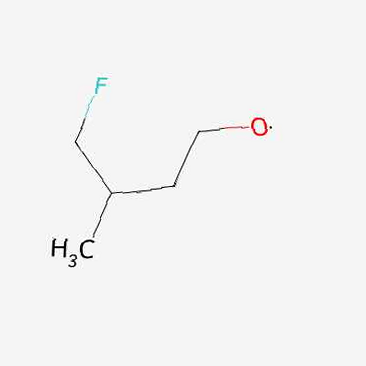 CC(CF)CC[O]